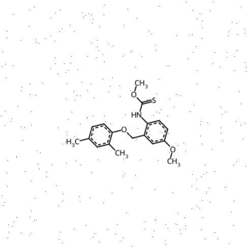 COC(=S)Nc1ccc(OC)cc1COc1ccc(C)cc1C